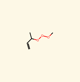 C=CC(C)OOOC